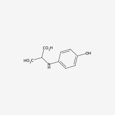 O=C(O)C(Nc1ccc(O)cc1)C(=O)O